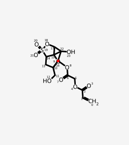 C=CC(=O)OCC(=O)OC1C2(CO)CC3C4(O2)C(OS3(=O)=O)C14O